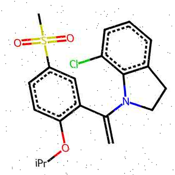 C=C(c1cc(S(C)(=O)=O)ccc1OC(C)C)N1CCc2cccc(Cl)c21